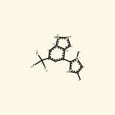 Cc1cn(C)c(-c2cc(C(F)(F)F)cc3[nH]ncc23)n1